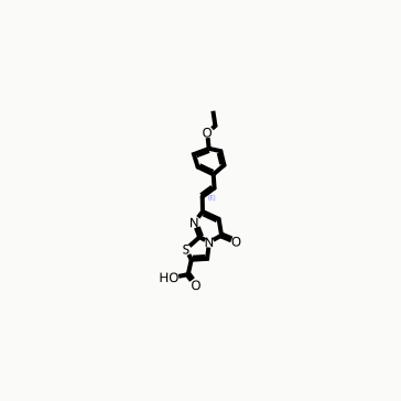 CCOc1ccc(/C=C/c2cc(=O)n3cc(C(=O)O)sc3n2)cc1